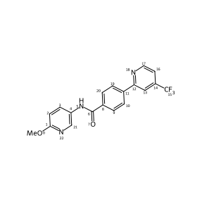 COc1ccc(NC(=O)c2ccc(-c3cc(C(F)(F)F)ccn3)cc2)cn1